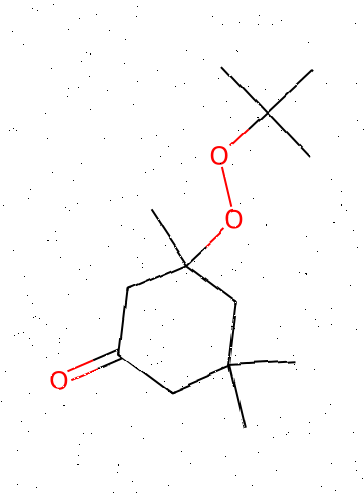 CC1(C)CC(=O)CC(C)(OOC(C)(C)C)C1